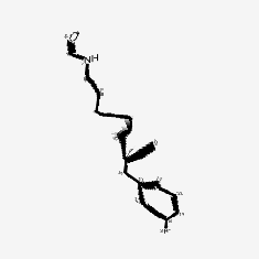 C=C(CCCCCNC=O)Cc1cccc(Br)c1